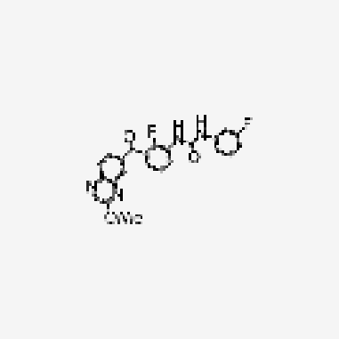 COc1cnc2ccc(C(=O)c3cccc(NC(=O)Nc4cccc(F)c4)c3F)cc2n1